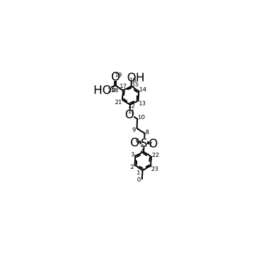 Cc1ccc(S(=O)(=O)CCCOc2ccc(O)c(C(=O)O)c2)cc1